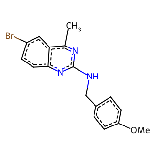 COc1ccc(CNc2nc(C)c3cc(Br)ccc3n2)cc1